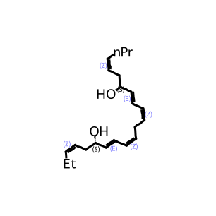 CC/C=C\C[C@H](O)/C=C/C=C\C/C=C\C=C\[C@@H](O)C/C=C\CCC